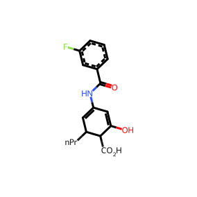 CCCC1C=C(NC(=O)c2cccc(F)c2)C=C(O)C1C(=O)O